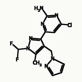 Cc1c(Cn2cccn2)c(-c2cc(Cl)nc(N)n2)nn1C(F)F